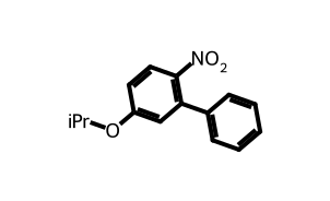 CC(C)Oc1ccc([N+](=O)[O-])c(-c2ccccc2)c1